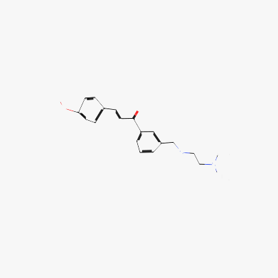 COc1ccc(C=CC(=O)c2cccc(CNCCN(C)C)c2)cc1